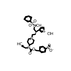 C#CCN(C(=O)OCc1ccc([N+](=O)[O-])cc1)C1CCN(CC[C@@H](CN(C)S(=O)(=O)c2ccccc2)c2ccsc2)CC1.Cl